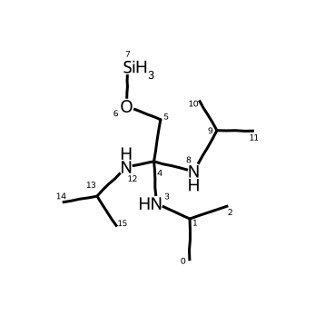 CC(C)NC(CO[SiH3])(NC(C)C)NC(C)C